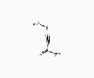 CNC(=O)C#CCOC